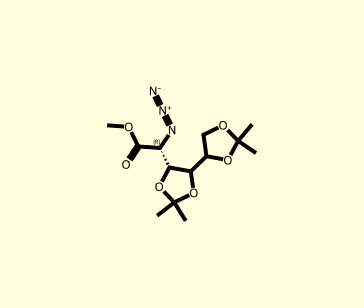 COC(=O)[C@H](N=[N+]=[N-])C1OC(C)(C)OC1C1COC(C)(C)O1